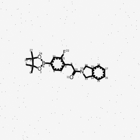 CC1(C)OB(c2ccc(CC(=O)N3Cc4ccccc4C3)c(F)c2)OC1(C)C